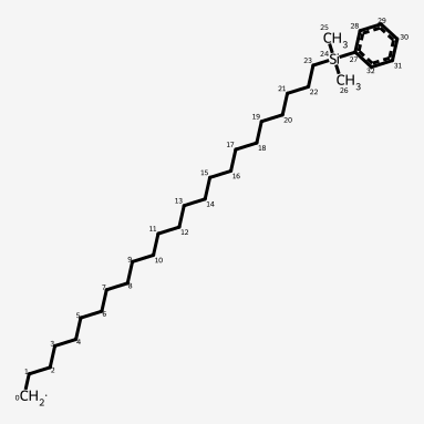 [CH2]CCCCCCCCCCCCCCCCCCCCCCC[Si](C)(C)c1ccccc1